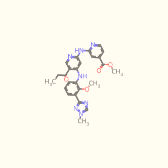 CCC(=O)c1cnc(Nc2cc(C(=O)OC)ccn2)cc1Nc1cccc(-c2ncn(C)n2)c1OC